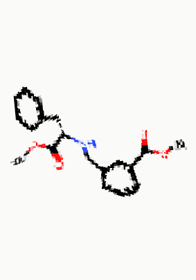 CC(C)(C)OC(=O)c1cccc(CN[C@@H](Cc2ccccc2)C(=O)OC(C)(C)C)c1